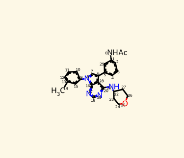 CC(=O)Nc1cccc(-c2cn(-c3cccc(C)c3)c3ncnc(NC4CCOCC4)c23)c1